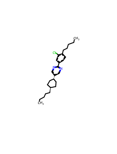 CCCCCc1ccc(-c2ncc([C@H]3CC[C@H](CCCCC)CC3)cn2)cc1Cl